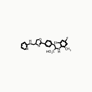 CCc1cc(F)cc(C)c1NC(Cc1ccc(C2=NC(CNc3ccccn3)CO2)cc1)C(=O)O